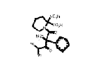 CC(C)C(S)C(=O)C(N)(C(=O)N1CCCCC1(C(=O)O)C(=O)O)c1ccccc1